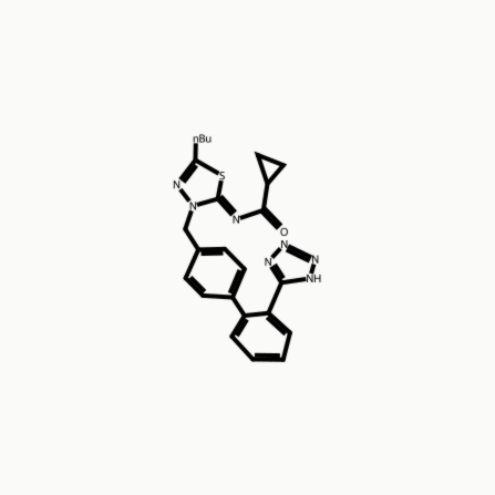 CCCCc1nn(Cc2ccc(-c3ccccc3-c3nnn[nH]3)cc2)c(=NC(=O)C2CC2)s1